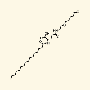 CCCCCCCCCCCCCCCC(=O)N[C@@H](CCC(=O)NCCOCCOC[C]=O)C(=O)O